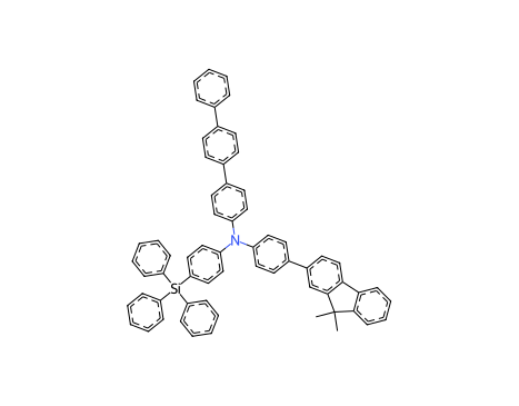 CC1(C)c2ccccc2-c2ccc(-c3ccc(N(c4ccc(-c5ccc(-c6ccccc6)cc5)cc4)c4ccc([Si](c5ccccc5)(c5ccccc5)c5ccccc5)cc4)cc3)cc21